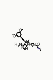 C/C=C/C(=O)N1CC(n2nc(C#Cc3cc(OC)cc(OC)c3)c3c(N)ncnc32)C1